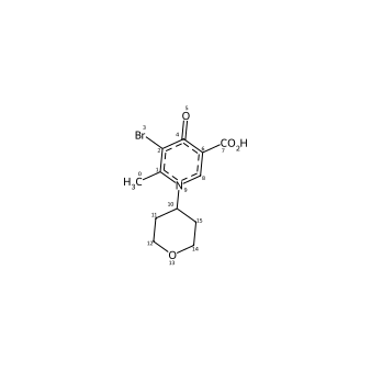 Cc1c(Br)c(=O)c(C(=O)O)cn1C1CCOCC1